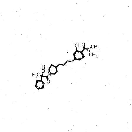 CN(C)C(=O)c1ccc(CCCCC2CCN(C(=O)C(O)(c3ccccc3)C(F)(F)F)CC2)cc1Cl